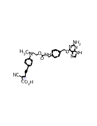 CN(CCOC(=O)NCc1ccc(COc2nc(N)nc3[nH]cnc23)cc1)c1ccc(C#C/C=C(\C#N)C(=O)O)cc1